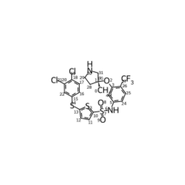 C[C@@]1(Oc2cc(NS(=O)(=O)c3ccc(Sc4ccc(Cl)c(Cl)c4)s3)ccc2C(F)(F)F)CCNC1